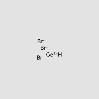 [Br-].[Br-].[Br-].[GeH+3]